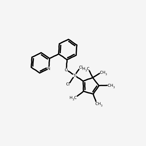 CC1=C(C)C(C)(C)[C]([Ti]([Cl])([Cl])[O]c2ccccc2-c2ccccn2)=C1C